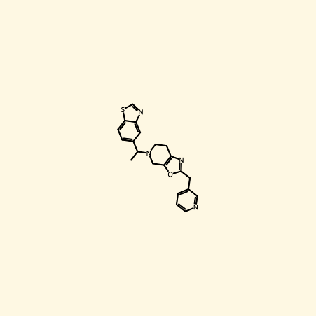 CC(c1ccc2scnc2c1)N1CCc2nc(Cc3cccnc3)oc2C1